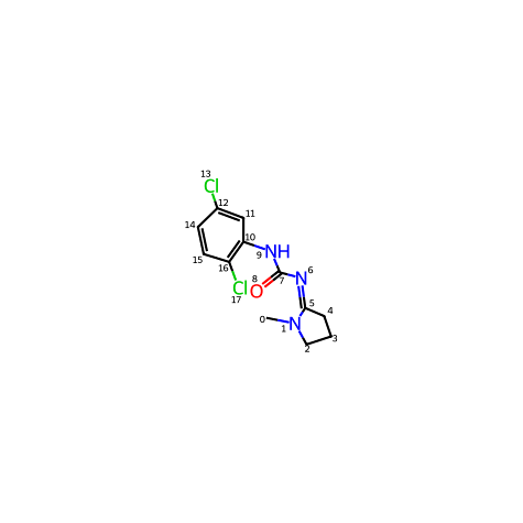 CN1CCC/C1=N/C(=O)Nc1cc(Cl)ccc1Cl